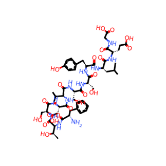 CC(C)C[C@H](NC(=O)[C@H](Cc1ccc(O)cc1)NC(=O)[C@H](CO)NC(=O)[C@H](CO)NC(=O)[C@@H](NC(=O)[C@H](CC(=O)O)NC(=O)[C@H](CO)NC(=O)[C@@H](NC(=O)[C@@H](N)Cc1ccccc1)[C@@H](C)O)C(C)C)C(=O)N[C@@H](CCC(=O)O)C(=O)NCC(=O)O